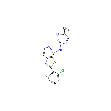 Cc1cnc(Nc2nccc3nc(-c4c(F)cccc4Cl)sc23)cn1